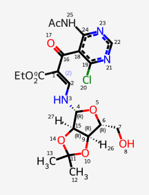 CCOC(=O)/C(=C\N[C@@H]1O[C@H](CO)[C@H]2OC(C)(C)O[C@H]21)C(=O)c1c(Cl)ncnc1NC(C)=O